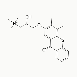 Cc1c(OCC(O)C[N+](C)(C)C)cc2c(=O)c3ccccc3sc2c1C